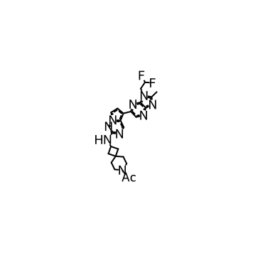 CC(=O)N1CCC2(CC1)CC(Nc1ncc3c(-c4cnc5nc(C)n(CC(F)F)c5n4)ccn3n1)C2